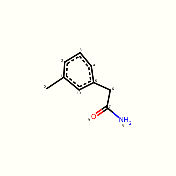 Cc1cccc(CC(N)=O)c1